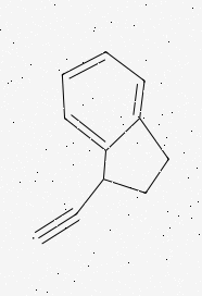 [C]#CC1CCc2ccccc21